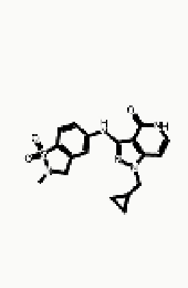 CN1Cc2cc(Nc3nn(CC4CC4)c4cc[nH]c(=O)c34)ccc2S1(=O)=O